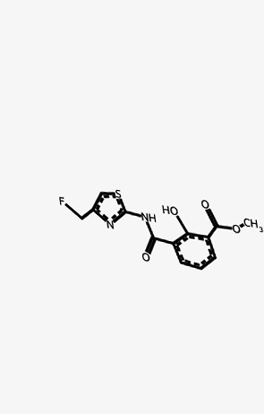 COC(=O)c1cccc(C(=O)Nc2nc(CF)cs2)c1O